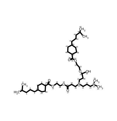 CC(C)CCCC1CCC(C(=O)OCCOC(=O)CCN(CCCN(C)C)CCC(O)OCCOC(=O)C2CCC(CCCC(C)C)CC2)CC1